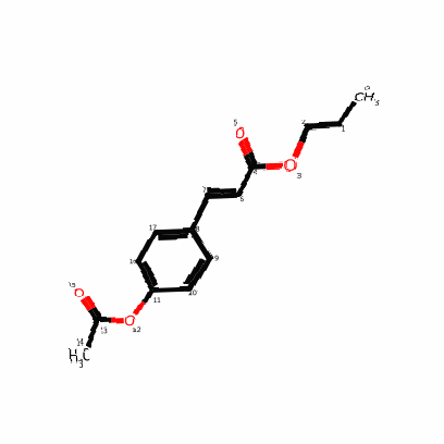 CCCOC(=O)/C=C/c1ccc(OC(C)=O)cc1